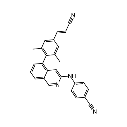 Cc1cc(C=CC#N)cc(C)c1-c1cccc2cnc(Nc3ccc(C#N)cc3)cc12